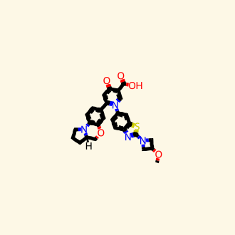 COC1CN(c2nc3ccc(-n4cc(C(=O)O)c(=O)cc4-c4ccc5c(c4)OC[C@@H]4CCCN54)cc3s2)C1